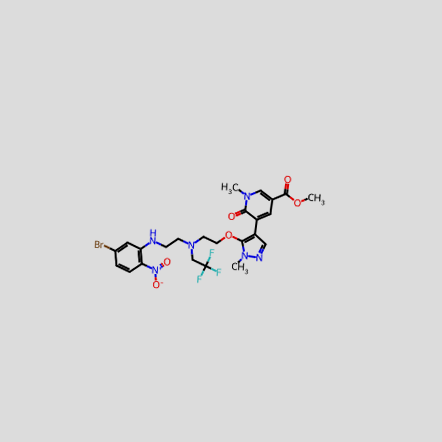 COC(=O)c1cc(-c2cnn(C)c2OCCN(CCNc2cc(Br)ccc2[N+](=O)[O-])CC(F)(F)F)c(=O)n(C)c1